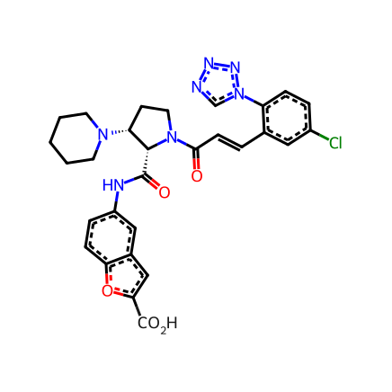 O=C(O)c1cc2cc(NC(=O)[C@@H]3[C@H](N4CCCCC4)CCN3C(=O)/C=C/c3cc(Cl)ccc3-n3cnnn3)ccc2o1